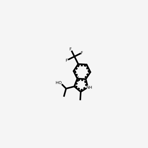 Cc1[nH]c2ccc(C(F)(F)F)cc2c1C(C)O